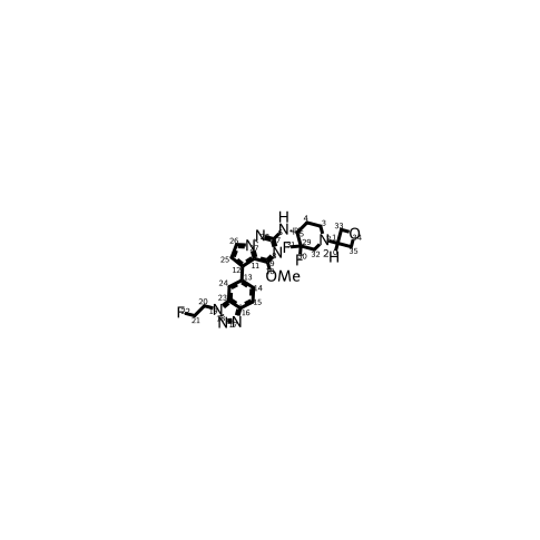 [2H]C1(N2CC[C@@H](Nc3nc(OC)c4c(-c5ccc6nnn(CCF)c6c5)ccn4n3)C(F)(F)C2)COC1